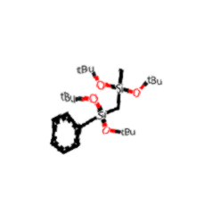 CC(C)(C)O[Si](C)(C[Si](OC(C)(C)C)(OC(C)(C)C)c1ccccc1)OC(C)(C)C